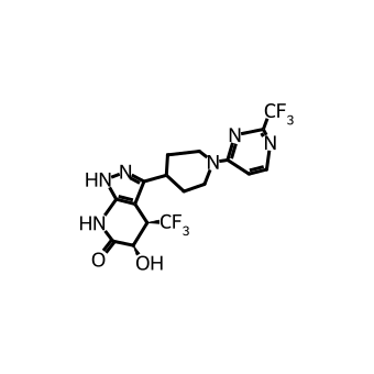 O=C1Nc2[nH]nc(C3CCN(c4ccnc(C(F)(F)F)n4)CC3)c2[C@@H](C(F)(F)F)[C@H]1O